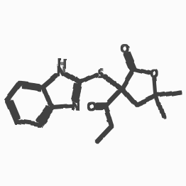 CCC(=O)C1(Sc2nc3ccccc3[nH]2)CC(C)(C)OC1=O